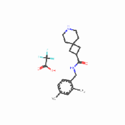 N#Cc1ccc(CNC(=O)C2CC3(CCNCC3)C2)c(C(F)(F)F)c1.O=C(O)C(F)(F)F